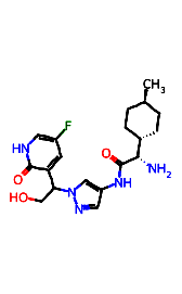 C[C@H]1CC[C@H]([C@H](N)C(=O)Nc2cnn(C(CO)c3cc(F)c[nH]c3=O)c2)CC1